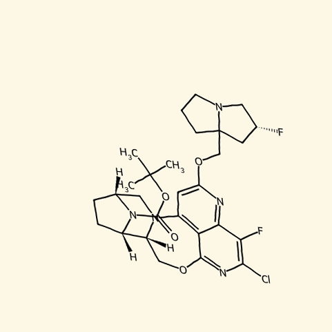 CC(C)(C)OC(=O)N1[C@@H]2CC[C@H]1[C@H]1COc3nc(Cl)c(F)c4nc(OCC56CCCN5C[C@H](F)C6)cc(c34)N1C2